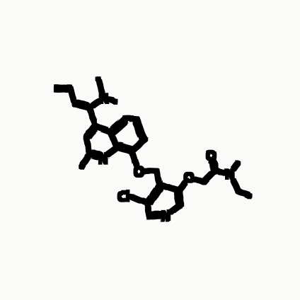 C=C/C=C(/c1cc(C)nc2c(OCc3c(Cl)cncc3OCC(=O)N(C)CC)cccc12)N(C)C